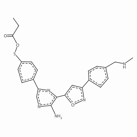 CCC(=O)OSc1ccc(-c2cnc(N)c(-c3cc(-c4ccc(CNC)cc4)no3)n2)cc1